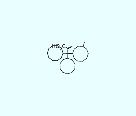 C=C(C(=O)O)C(C1CCCCCCCCC1)(C1CCCCCCCCC1)C1CCCCCCC(C)CC1